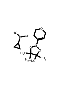 CC1(C)OB(C2=CCOCC2)OC1(C)C.OB(O)C1CC1